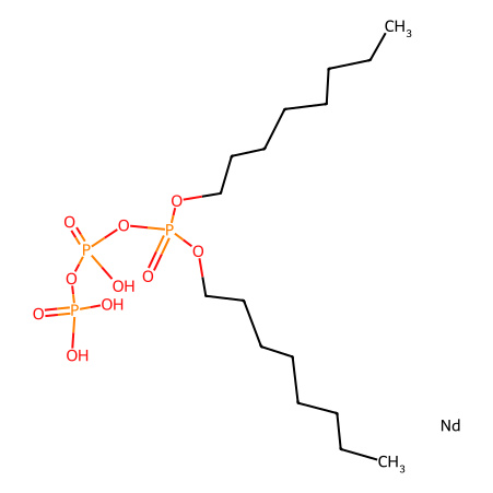 CCCCCCCCOP(=O)(OCCCCCCCC)OP(=O)(O)OP(=O)(O)O.[Nd]